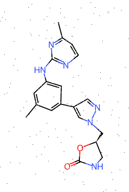 Cc1cc(Nc2nccc(C)n2)cc(-c2cnn(C[C@H]3CNC(=O)O3)c2)c1